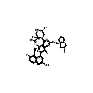 C#Cc1c(F)ccc2cc(O)cc(-c3nc4c5c(nc(OC[C@@]67CCCN6C[C@H](F)C7)nc5c3F)N3C[C@@H](CC)NC[C@H]3[C@H](CC)O4)c12